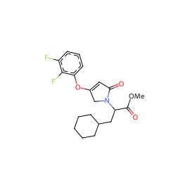 COC(=O)C(CC1CCCCC1)N1CC(Oc2cccc(F)c2F)=CC1=O